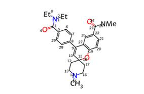 CCN(CC)C(=O)c1ccc(C2=CC3(CCN(C)CC3)Oc3ccc(C(=O)NC)cc32)cc1